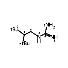 CC(C)(C)C(CNC(=N)N)C(C)(C)C